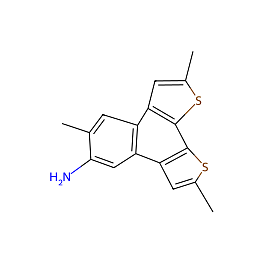 Cc1cc2c3cc(C)c(N)cc3c3cc(C)sc3c2s1